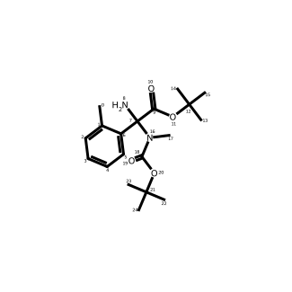 Cc1ccccc1C(N)(C(=O)OC(C)(C)C)N(C)C(=O)OC(C)(C)C